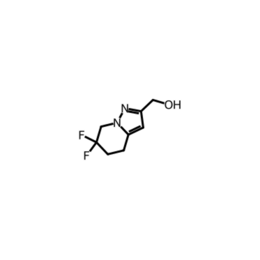 OCc1cc2n(n1)CC(F)(F)CC2